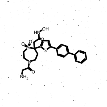 NCC(=O)N1CCC(CC(=O)NO)(c2ccc(-c3ccc(-c4ccccc4)cc3)s2)S(=O)(=O)CC1